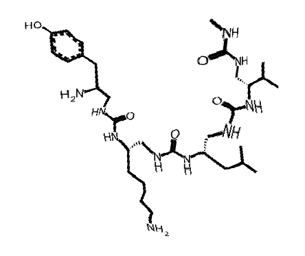 CNC(=O)NC[C@@H](NC(=O)NC[C@H](CC(C)C)NC(=O)NC[C@H](CCCCN)NC(=O)NC[C@@H](N)Cc1ccc(O)cc1)C(C)C